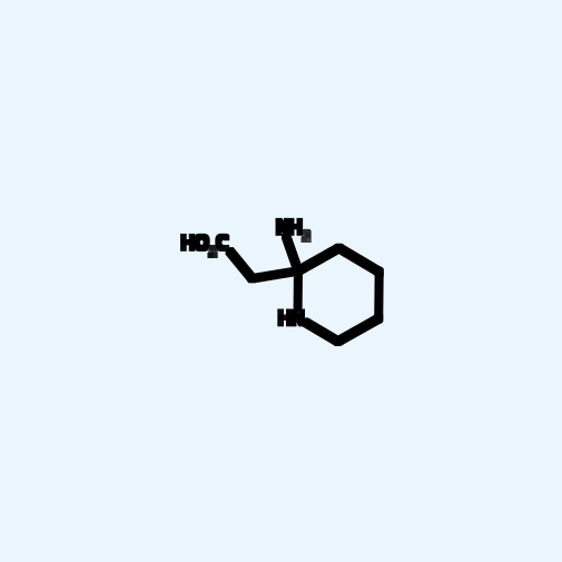 NC1(CC(=O)O)CCCCN1